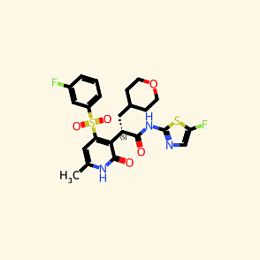 Cc1cc(S(=O)(=O)c2cccc(F)c2)c([C@H](CC2CCOCC2)C(=O)Nc2ncc(F)s2)c(=O)[nH]1